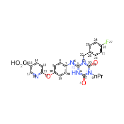 CCCn1c(=O)[nH]/c(=N\c2ccc(Oc3ccc(C(=O)O)cn3)cc2)n(Cc2ccc(F)cc2)c1=O